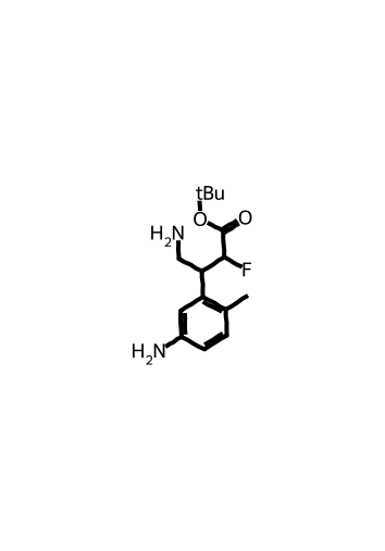 Cc1ccc(N)cc1C(CN)C(F)C(=O)OC(C)(C)C